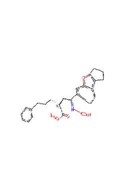 O=C(O)[C@H](CCCc1ccccc1)CC(=NO)c1ccc2c3c(oc2c1)CCC3